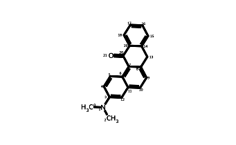 CN(C)c1ccc2c3c(ccc2c1)Cc1ccccc1C3=O